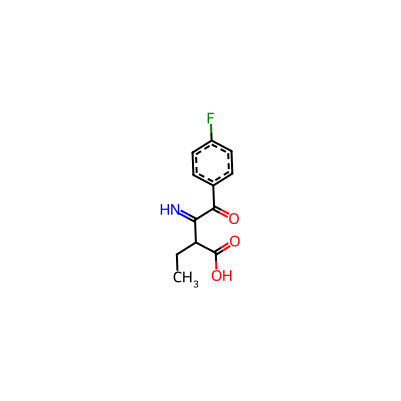 CCC(C(=N)C(=O)c1ccc(F)cc1)C(=O)O